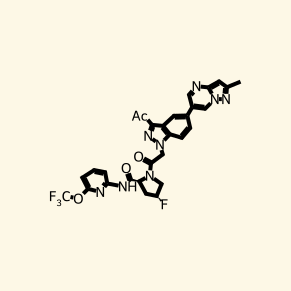 CC(=O)c1nn(CC(=O)N2C[C@H](F)C[C@H]2C(=O)Nc2cccc(OC(F)(F)F)n2)c2ccc(-c3cnc4cc(C)nn4c3)cc12